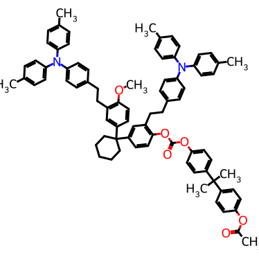 COc1ccc(C2(c3ccc(OC(=O)Oc4ccc(C(C)(C)c5ccc(OC(C)=O)cc5)cc4)c(CCc4ccc(N(c5ccc(C)cc5)c5ccc(C)cc5)cc4)c3)CCCCC2)cc1CCc1ccc(N(c2ccc(C)cc2)c2ccc(C)cc2)cc1